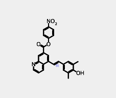 Cc1cc(/C=C/c2cc(C(=O)Oc3ccc([N+](=O)[O-])cc3)cc3ncccc23)cc(C)c1O